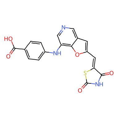 O=C1NC(=O)C(=Cc2cc3cncc(Nc4ccc(C(=O)O)cc4)c3o2)S1